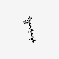 C=C(C)C(=O)OCCNC(=O)OCCC[Si](C)(O[Si](C)(C)C)O[Si](C)(C)C